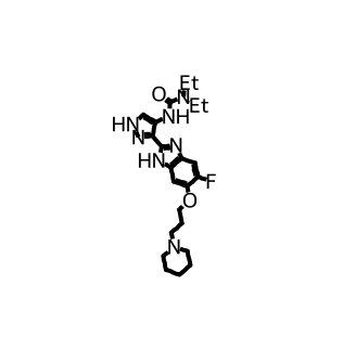 CCN(CC)C(=O)Nc1c[nH]nc1-c1nc2cc(F)c(OCCCN3CCCCC3)cc2[nH]1